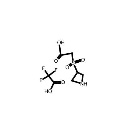 O=C(O)C(F)(F)F.O=C(O)CS(=O)(=O)C1CNC1